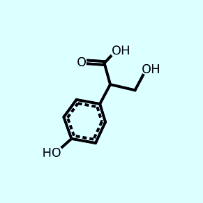 O=C(O)C(CO)c1ccc(O)cc1